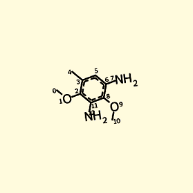 COc1c(C)cc(N)c(OC)c1N